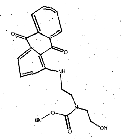 CC(C)(C)OC(=O)N(CCO)CCNc1cccc2c1C(=O)c1ccccc1C2=O